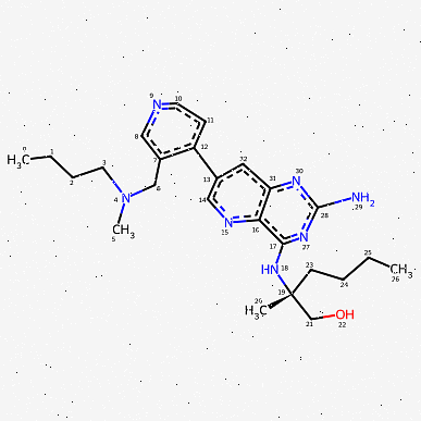 CCCCN(C)Cc1cnccc1-c1cnc2c(N[C@@](C)(CO)CCCC)nc(N)nc2c1